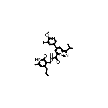 CCCc1cc(C)[nH]c(=O)c1CNC(=O)c1cc(-c2cnc(OC)c(F)c2)cc2c(C(C)C)ncn12